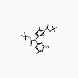 Cc1cc(N(C(=O)OC(C)(C)C)c2cc(C)n(C(=O)OC(C)(C)C)n2)nc(Cl)n1